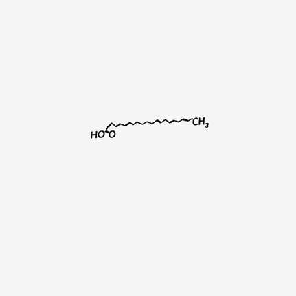 CC/C=C/C/C=C/C/C=C/CCCCCC=CC=C/C=C\C(=O)O